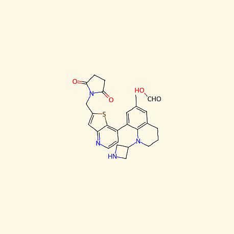 Cc1cc2c(c(-c3ccnc4cc(CN5C(=O)CCC5=O)sc34)c1)N(C1CNC1)CCC2.O=CO